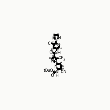 CC(C)(C)OC(=O)Nc1nc(-n2ncc(C(=O)Nc3cnc(-n4nccn4)c(Cl)c3)c2C(F)(F)F)ccc1C#N